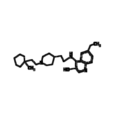 CCc1ccc2ncc(O)c(NCCC3CCN(CCC4(C)CCCCC4)CC3)c2c1